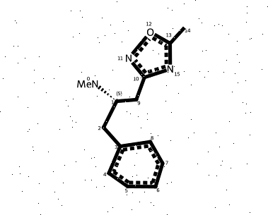 CN[C@@H](Cc1ccccc1)Cc1noc(C)n1